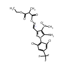 CCOC(=O)C(C)C(=O)O/N=C/c1nn(-c2c(Cl)cc(C(F)(F)F)cc2Cl)c(N)c1[S+](C)[O-]